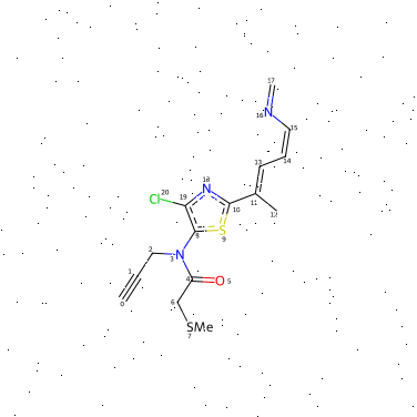 C#CCN(C(=O)CSC)c1sc(/C(C)=C/C=C\N=C)nc1Cl